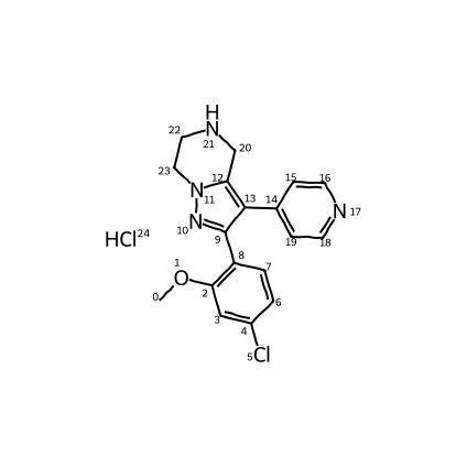 COc1cc(Cl)ccc1-c1nn2c(c1-c1ccncc1)CNCC2.Cl